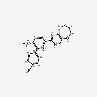 Cc1ccc(-c2ncc3c(n2)OCCCO3)nc1-c1ccc(F)cc1